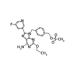 CCOc1nc(N)c2nc(-c3cncc(F)c3)n(Cc3ccc(COS(C)(=O)=O)cc3)c2n1